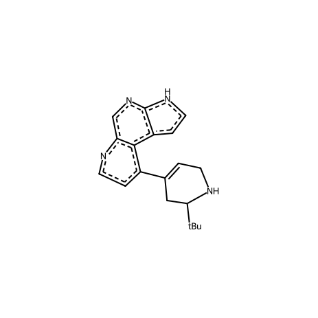 CC(C)(C)C1CC(c2ccnc3cnc4[nH]ccc4c23)=CCN1